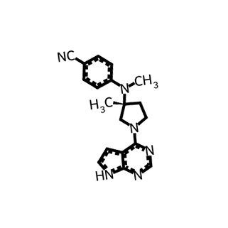 CN(c1ccc(C#N)cc1)[C@]1(C)CCN(c2ncnc3[nH]ccc23)C1